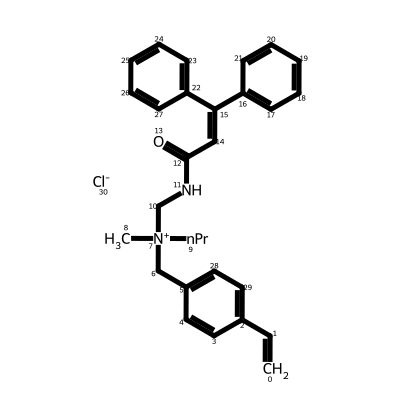 C=Cc1ccc(C[N+](C)(CCC)CNC(=O)C=C(c2ccccc2)c2ccccc2)cc1.[Cl-]